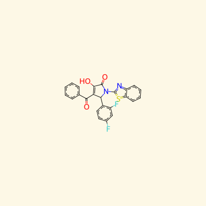 O=C(C1=C(O)C(=O)N(c2nc3ccccc3s2)C1c1ccc(F)cc1F)c1ccccc1